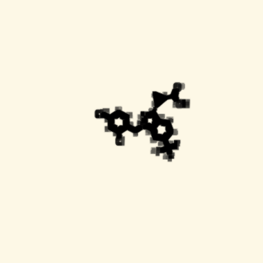 O=C(O)[C@@H]1C[C@H]1c1nn(Cc2ccc(Cl)cc2Cl)c2cc(C(F)(F)F)ccc12